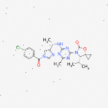 Cc1nc(N[C@@H](C)c2cn(C(=O)c3ccc(Cl)cc3)cn2)nc(N2C(=O)OC3(CC3)[C@@H]2C(C)C)n1